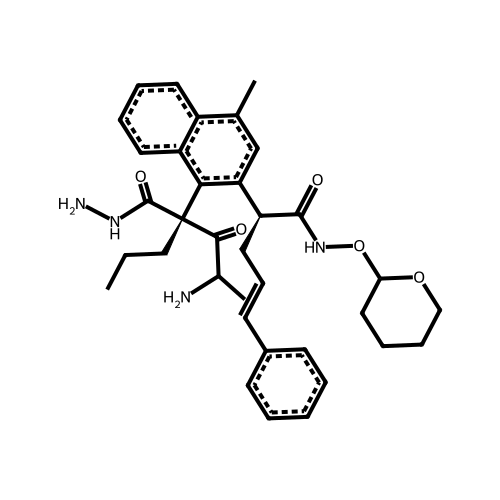 CCC[C@](C(=O)NN)(C(=O)C(C)N)c1c([C@H](C/C=C/c2ccccc2)C(=O)NOC2CCCCO2)cc(C)c2ccccc12